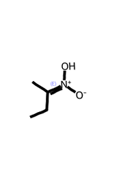 CC/C(C)=[N+](\[O-])O